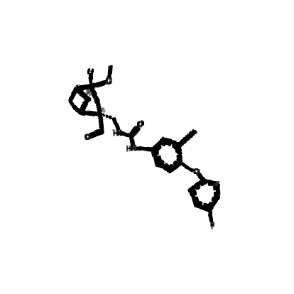 CO[C@@H]1C[C@](C=O)(CNC(=O)Nc2ccc(Oc3ccc(F)cn3)c(C)c2)C2CC1C2